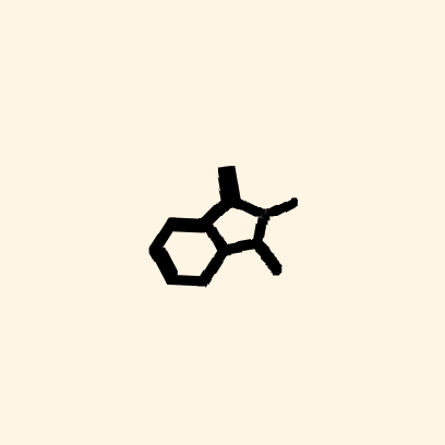 C=C1C2=CC=CCC2C(C)N1C